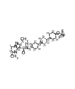 CCc1nn2ccc(C)nc2c1C(=O)NCc1ccc(N2CCC(c3ccc(OC(F)(F)F)cc3)CC2)cc1